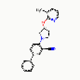 Cc1cccnc1O[C@H]1CCN(c2ccc(-c3ccccc3)cc2C#N)C1